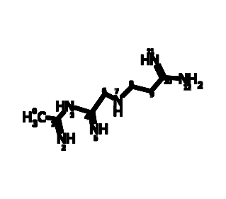 CC(=N)NC(=N)CNCCC(=N)N